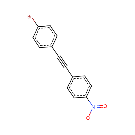 O=[N+]([O-])c1ccc(C#Cc2ccc(Br)cc2)cc1